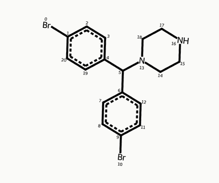 Brc1ccc(C(c2ccc(Br)cc2)N2CCNCC2)cc1